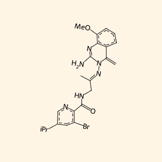 C=C1c2cccc(OC)c2N=C(N)N1/N=C(\C)CNC(=O)c1ncc(C(C)C)cc1Br